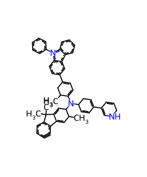 CC1CC(c2ccc3c(c2)c2ccccc2n3-c2ccccc2)=CC=C1N(C1C=CC(C2=CNCC=C2)=CC1)C1C=C2C(=CC1C)c1c#cccc1C2(C)C